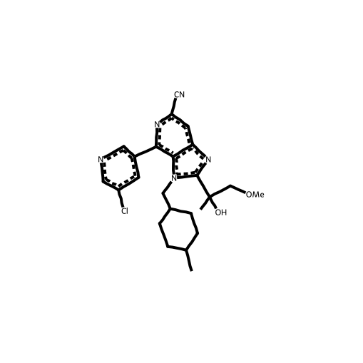 COCC(C)(O)c1nc2cc(C#N)nc(-c3cncc(Cl)c3)c2n1CC1CCC(C)CC1